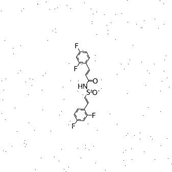 O=C(/C=C/c1ccc(F)cc1F)N[S+]([O-])/C=C/c1ccc(F)cc1F